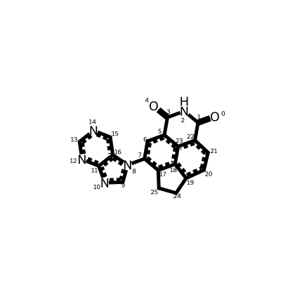 O=C1NC(=O)c2cc(-n3cnc4ncncc43)c3c4c(ccc1c24)CC3